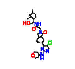 Cc1ccc(C(CO)NC(=O)CN2Cc3ccc(-c4nc(NC5CCOCC5)ncc4Cl)cc3C2=O)c(C)c1